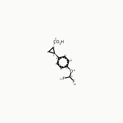 O=C(O)[C@H]1C[C@@H]1c1ccc(OC(F)F)cc1